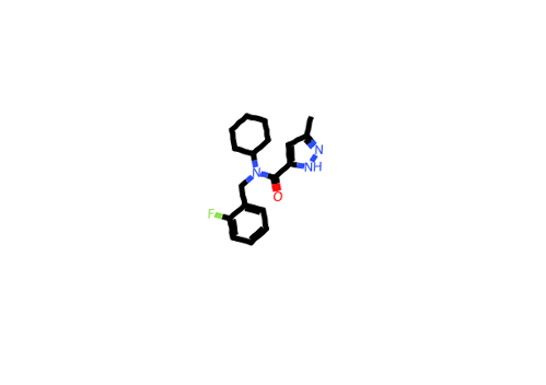 Cc1cc(C(=O)N(Cc2ccccc2F)C2CCCCC2)[nH]n1